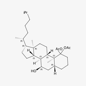 CC(=O)OC1(OC(C)=O)CCC[C@@H]2C[C@@H](O)[C@H]3[C@@H]4CC[C@H]([C@H](C)CCCC(C)C)[C@@]4(C)CC[C@@H]3[C@]21C